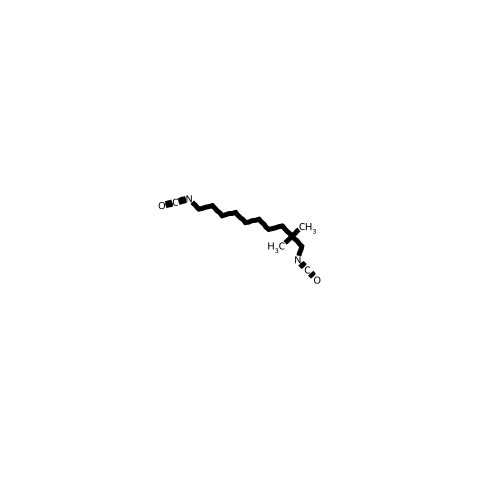 CC(C)(CCCCCCCCN=C=O)CN=C=O